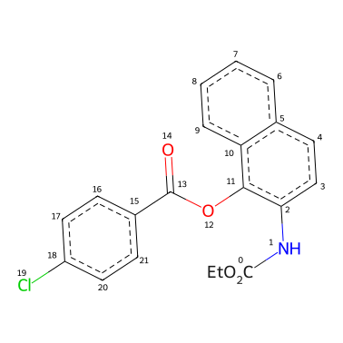 CCOC(=O)Nc1ccc2ccccc2c1OC(=O)c1ccc(Cl)cc1